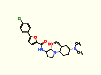 CCC[C@H]1C[C@H](N(C)C)CC[C@@H]1N1CCC(NC(=O)c2ccc(-c3ccc(Cl)cc3)o2)[C@@H]1O